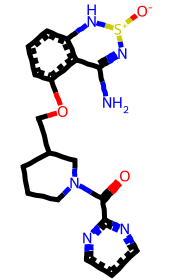 NC1=N[S+]([O-])Nc2cccc(OCC3CCCN(C(=O)c4ncccn4)C3)c21